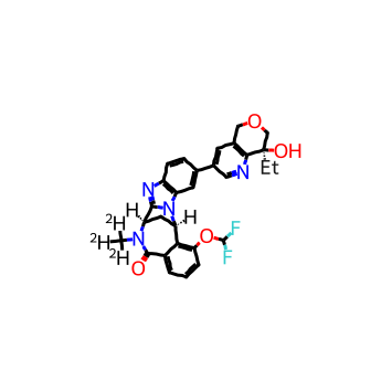 [2H]C([2H])([2H])N1C(=O)c2cccc(OC(F)F)c2[C@H]2C[C@@H]1c1nc3ccc(-c4cnc5c(c4)COC[C@]5(O)CC)cc3n12